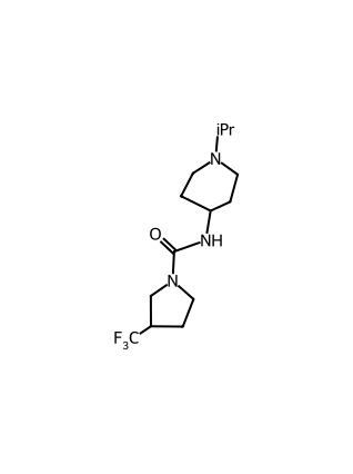 CC(C)N1CCC(NC(=O)N2CCC(C(F)(F)F)C2)CC1